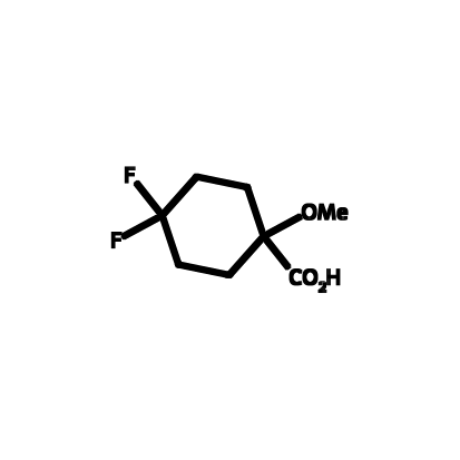 COC1(C(=O)O)CCC(F)(F)CC1